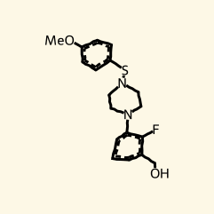 COc1ccc(SN2CCN(c3cccc(CO)c3F)CC2)cc1